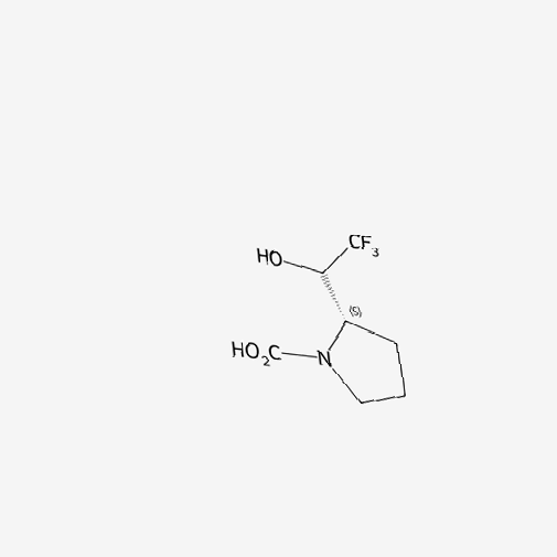 O=C(O)N1CCC[C@H]1C(O)C(F)(F)F